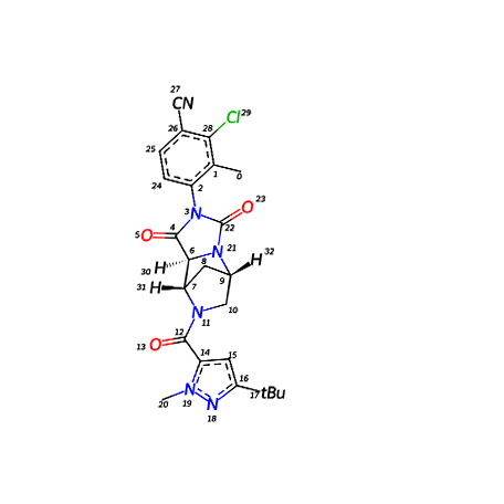 Cc1c(N2C(=O)[C@@H]3[C@@H]4C[C@@H](CN4C(=O)c4cc(C(C)(C)C)nn4C)N3C2=O)ccc(C#N)c1Cl